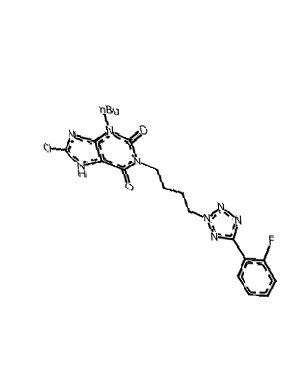 CCCCn1c(=O)n(CCCCn2nnc(-c3ccccc3F)n2)c(=O)c2[nH]c(Cl)nc21